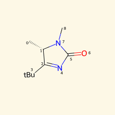 C[C@H]1C(C(C)(C)C)=NC(=O)N1C